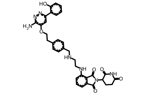 Nc1nnc(-c2ccccc2O)cc1OCCc1ccc(CNCCNc2cccc3c2C(=O)N(C2CCC(=O)NC2=O)C3=O)cc1